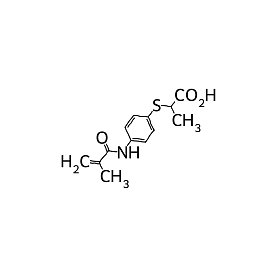 C=C(C)C(=O)Nc1ccc(SC(C)C(=O)O)cc1